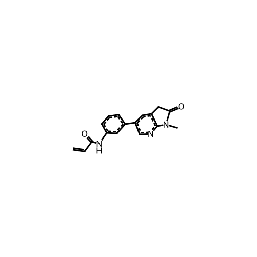 C=CC(=O)Nc1cccc(-c2cnc3c(c2)CC(=O)N3C)c1